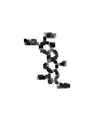 COC(=O)CC(C(=O)OC)C(=O)c1cc2nc(OC)c(OC)cc2s1